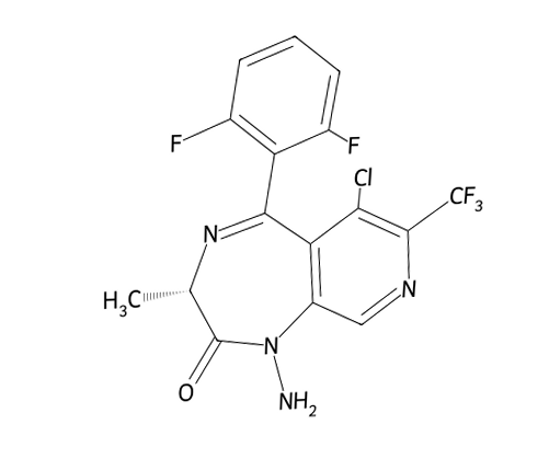 C[C@@H]1N=C(c2c(F)cccc2F)c2c(cnc(C(F)(F)F)c2Cl)N(N)C1=O